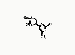 Cc1cc(N(CC(C)(C)C)NC(=O)OC(C)(C)C)nc(Cl)n1